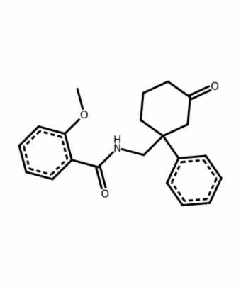 COc1ccccc1C(=O)NCC1(c2ccccc2)CCCC(=O)C1